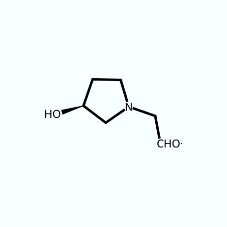 O=[C]CN1CC[C@H](O)C1